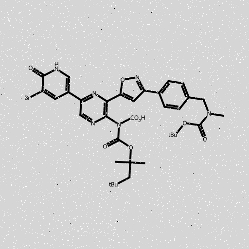 CN(Cc1ccc(-c2cc(-c3nc(-c4c[nH]c(=O)c(Br)c4)cnc3N(C(=O)O)C(=O)OC(C)(C)CC(C)(C)C)on2)cc1)C(=O)OC(C)(C)C